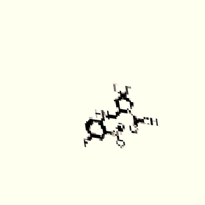 O=C(O)N1CC(F)(F)CC1CNc1ccc(F)cc1[N+](=O)[O-]